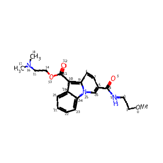 COCCNC(=O)c1ccc2c(C(=O)OCCN(C)C)c3ccccc3n2c1